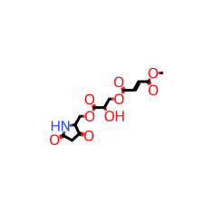 COC(=O)/C=C/C(=O)OCC(O)C(=O)OCC1NC(=O)CC1=O